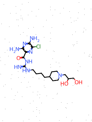 N=C(NCCCCC1CCN(CC(O)CO)CC1)NC(=O)c1nc(Cl)c(N)nc1N